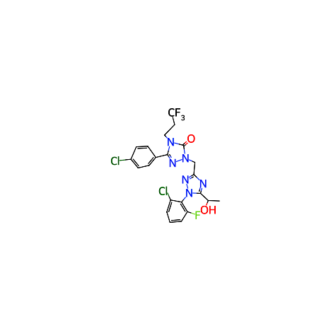 CC(O)c1nc(Cn2nc(-c3ccc(Cl)cc3)n(CCC(F)(F)F)c2=O)nn1-c1c(F)cccc1Cl